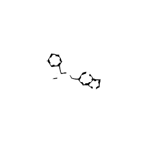 OC[C@H](SCc1cnc2ccsc2c1)c1ccccc1